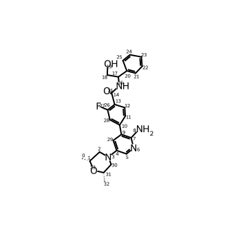 C[C@@H]1CN(c2cnc(N)c(-c3ccc(C(=O)NC(CO)c4ccccc4)c(F)c3)c2)C[C@H](C)O1